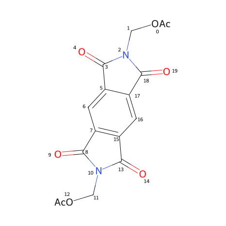 CC(=O)OCn1c(=O)c2cc3c(=O)n(COC(C)=O)c(=O)c3cc2c1=O